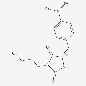 CCN(CC)c1ccc(/C=C2/NC(=O)N(CCCCl)C2=O)cc1